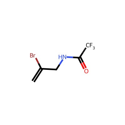 C=C(Br)CNC(=O)C(F)(F)F